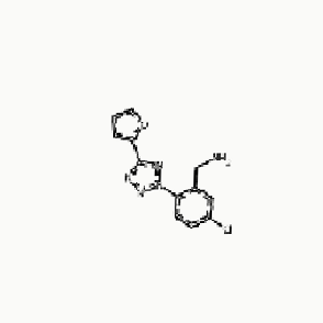 NCc1cc(Cl)ccc1-n1nnc(-c2ccco2)n1